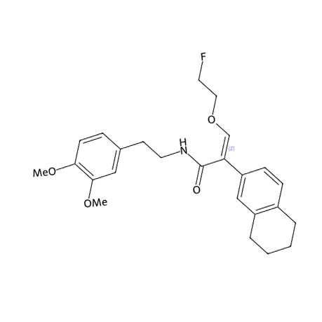 COc1ccc(CCNC(=O)/C(=C\OCCF)c2ccc3c(c2)CCCC3)cc1OC